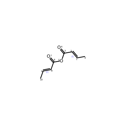 C/C=C/C(=O)OC(=O)/C=C/C